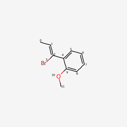 CC=C(Br)c1ccccc1OC